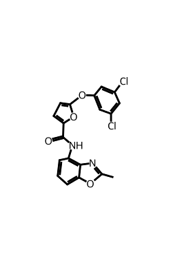 Cc1nc2c(NC(=O)c3ccc(Oc4cc(Cl)cc(Cl)c4)o3)cccc2o1